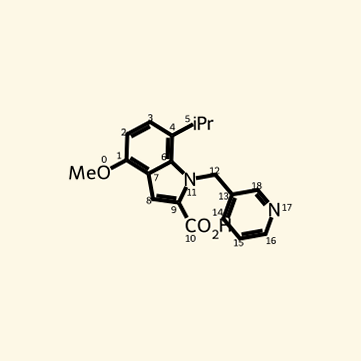 COc1ccc(C(C)C)c2c1cc(C(=O)O)n2Cc1cccnc1